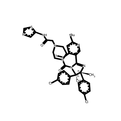 CCOc1cc(C(C)(C)C)ncc1C1=N[C@](C)(c2ccc(Cl)cc2)[C@@](C)(c2ccc(Cl)cc2)N1C(=O)N1CCN(CC(=O)Nc2cncs2)CC1